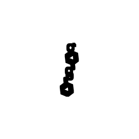 COc1ccc(COOCc2ccccc2)cc1